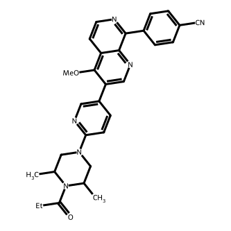 CCC(=O)N1C(C)CN(c2ccc(-c3cnc4c(-c5ccc(C#N)cc5)nccc4c3OC)cn2)CC1C